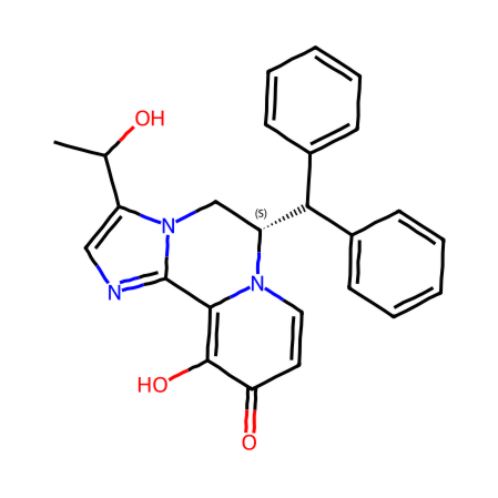 CC(O)c1cnc2n1C[C@H](C(c1ccccc1)c1ccccc1)n1ccc(=O)c(O)c1-2